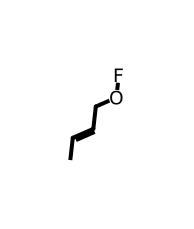 C/C=C/COF